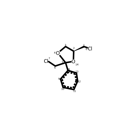 ClC[C@@H]1COC(CCl)(c2ccccc2)O1